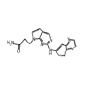 NC(=O)CCn1ccc2cnc(Nc3ccc4nccnc4c3)nc21